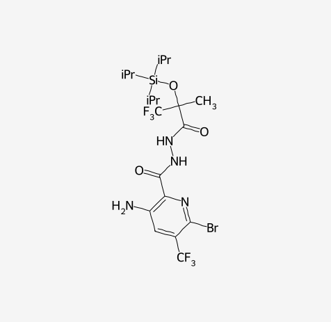 CC(C)[Si](OC(C)(C(=O)NNC(=O)c1nc(Br)c(C(F)(F)F)cc1N)C(F)(F)F)(C(C)C)C(C)C